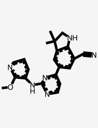 COc1ncccc1Nc1nccc(-c2cc(C#N)c3c(c2)C(C)(C)CN3)n1